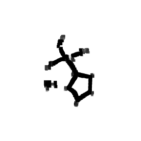 F[B-](F)(F)C1CCCC1.[KH]